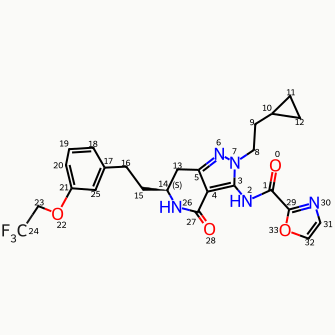 O=C(Nc1c2c(nn1CCC1CC1)C[C@H](CCc1cccc(OCC(F)(F)F)c1)NC2=O)c1ncco1